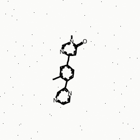 Cc1cc(-c2cc(=O)n(C)cn2)ccc1-c1cnccn1